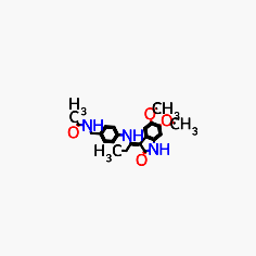 CCC(Nc1ccc(CNC(C)=O)cc1)=C1C(=O)Nc2cc(OC)c(OC)cc21